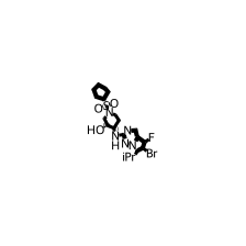 CC(C)c1c(Br)c(F)c2cnc(N[C@@H]3CCN(S(=O)(=O)c4ccccc4)C[C@H]3O)nn12